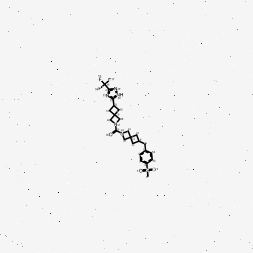 CS(=O)(=O)c1ccc(CC2CC3(C2)CN(C(=O)N2CC4(CC(c5nc(C(F)(F)F)n[nH]5)C4)C2)C3)cc1